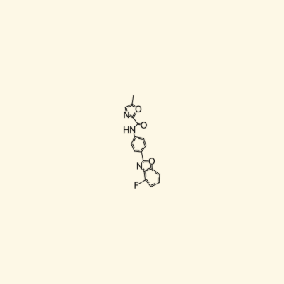 Cc1cnc(C(=O)Nc2ccc(-c3nc4c(F)cccc4o3)cc2)o1